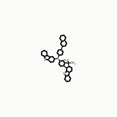 CC1(C)c2cc(N(c3ccc(-c4ccc5ccccc5c4)cc3)c3ccc4oc5ccccc5c4c3)ccc2-c2c1ccc1c2oc2ccccc21